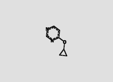 c1cc(OC2CC2)ncn1